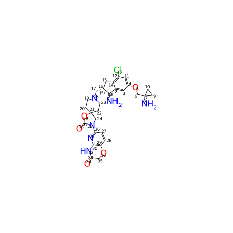 N[C@@H]1c2cc(OCC3(N)CC3)cc(Cl)c2C[C@H]1CN1CCC2(CC1)CN(c1ccc3c(n1)NC(=O)CO3)C(=O)O2